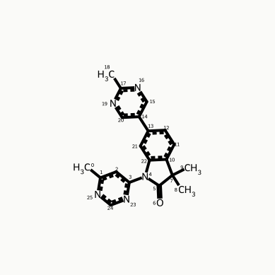 Cc1cc(N2C(=O)C(C)(C)c3ccc(-c4cnc(C)nc4)cc32)ncn1